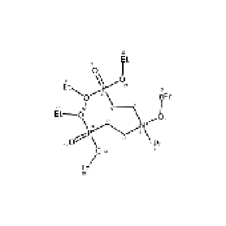 CCCO[N+](CCC)(CCP(=O)(OCC)OCC)CCP(=O)(OCC)OCC